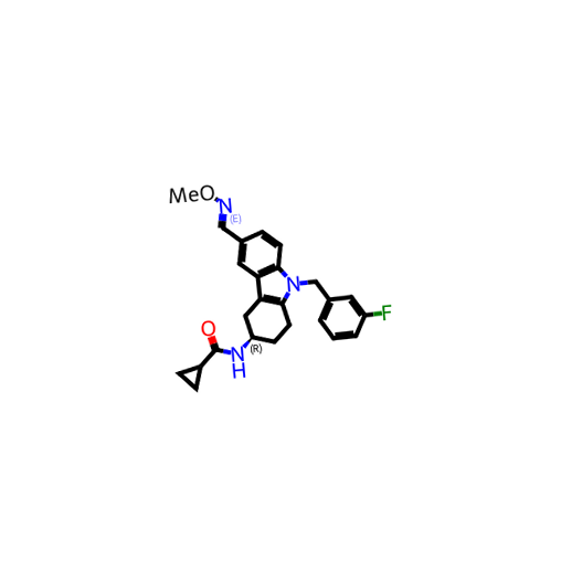 CO/N=C/c1ccc2c(c1)c1c(n2Cc2cccc(F)c2)CC[C@@H](NC(=O)C2CC2)C1